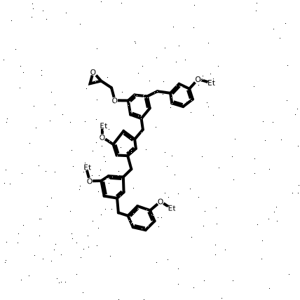 CCOc1cccc(Cc2cc(Cc3cc(Cc4cc(Cc5cccc(OCC)c5)cc(OCC5CO5)c4)cc(OCC)c3)cc(OCC)c2)c1